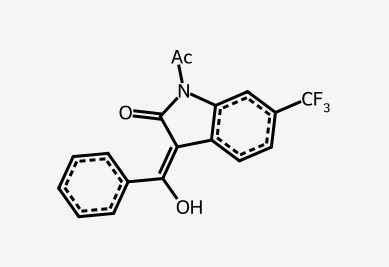 CC(=O)N1C(=O)C(=C(O)c2ccccc2)c2ccc(C(F)(F)F)cc21